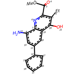 CCc1c(C(=O)OC)nc2c(N)cc(-c3ccccc3)cc2c1O